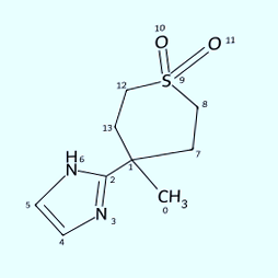 CC1(c2ncc[nH]2)CCS(=O)(=O)CC1